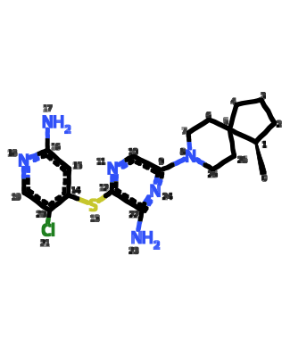 C[C@@H]1CCCC12CCN(c1cnc(Sc3cc(N)ncc3Cl)c(N)n1)CC2